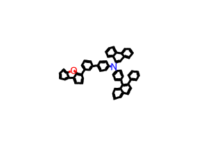 c1ccc(-c2ccc3ccccc3c2-c2ccc(N(c3ccc(-c4cccc(-c5cccc6c5oc5ccccc56)c4)cc3)c3cc4ccccc4c4ccccc34)cc2)cc1